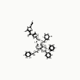 C#Cc1nc(C)c(C(=O)c2cnc(NC[C@H]3O[C@H](COCc4ccccc4)[C@@H](OCc4ccccc4)[C@H](OCc4ccccc4)[C@@H]3OCc3ccccc3)s2)s1